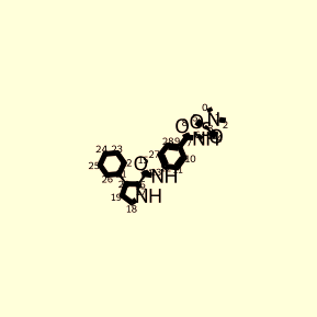 CN(C)S(=O)(=O)NC(=O)c1ccc(NC(=O)[C@H]2NCC[C@H]2C2CCCCC2)cc1